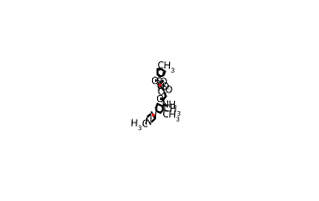 Cc1ccc(S(=O)(=O)CN2OOC(CC(=O)NC3CCC(N4CCN(C)CC4)CC3(C)C)O2)cc1